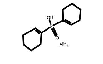 O=P(O)(C1=CCCCC1)C1=CCCCC1.[AlH3]